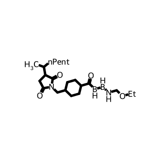 CCCCCC(C)C1CC(=O)N(CC2CCC(C(=O)BBNCOCC)CC2)C1=O